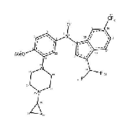 COc1ccc([S+]([O-])n2cc(C(F)F)c3ccc(C(F)(F)F)cc32)cc1N1CCN(C2CC2)CC1